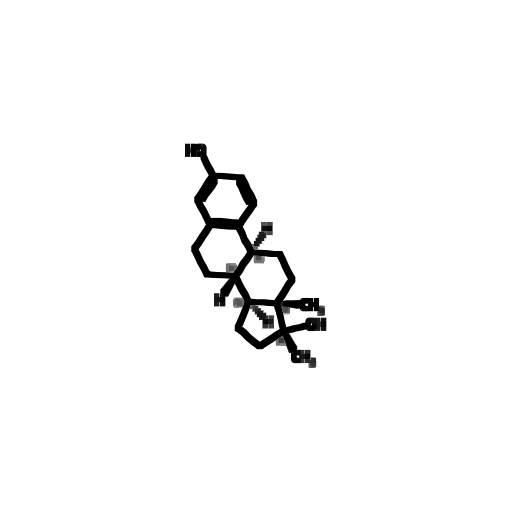 C[C@]12CC[C@@H]3c4ccc(O)cc4CC[C@H]3[C@@H]1CC[C@@]2(C)O